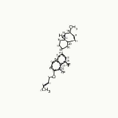 C/C=C/COc1ccc2cc([C@@H]3CC[C@@H]4CC(C)CCC4C3)cc(F)c2c1F